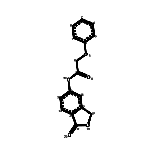 O=C(COc1ccccc1)Oc1ccc2c(c1)COC2=O